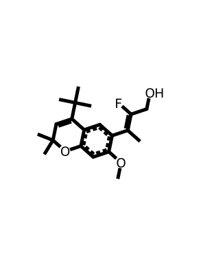 COc1cc2c(cc1C(C)=C(F)CO)C(C(C)(C)C)=CC(C)(C)O2